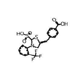 O=C(O)c1ccc(C=C2CN(c3ccccc3C(F)(F)F)C(S(=O)(=O)O)S2)cc1